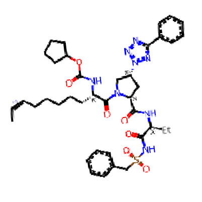 C/C=C\CCCCC[C@H](NC(=O)OC1CCCC1)C(=O)N1C[C@H](n2nnc(-c3ccccc3)n2)C[C@H]1C(=O)N[C@@H](CC)C(=O)NS(=O)(=O)Cc1ccccc1